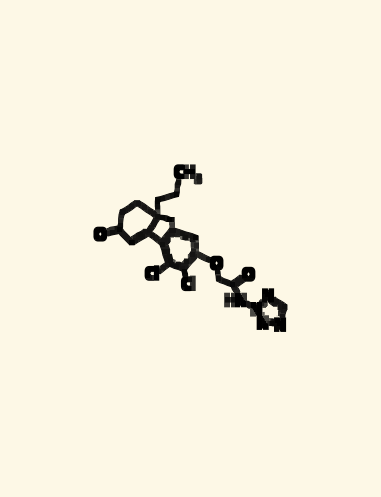 CCCC12CCC(=O)C=C1c1c(cc(OCC(=O)Nn3ncnn3)c(Cl)c1Cl)C2